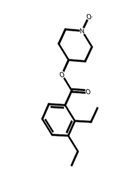 CCc1cccc(C(=O)OC2CCN([O])CC2)c1CC